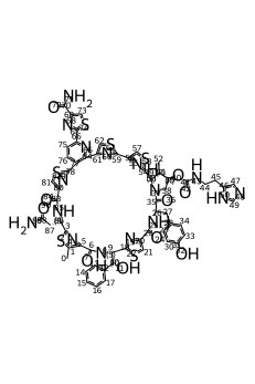 Cc1sc2nc1C(=O)N[C@@H]([C@H](O)c1ccccc1)c1nc(cs1)C(=O)NC(Cc1ccc(O)cc1)C(=O)N1C[C@H](OC(=O)NCCc3cnc[nH]3)[C@H](C)[C@H]1c1nc(cs1)-c1nc(cs1)-c1nc(-c3nc(C(N)=O)cs3)ccc1-c1nc(cs1)C(=O)N[C@H]2CC(N)=O